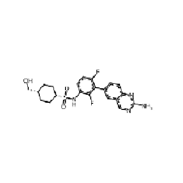 Nc1ncc2cc(-c3c(F)ccc(NS(=O)(=O)[C@H]4CC[C@@H](CO)CC4)c3F)ccc2n1